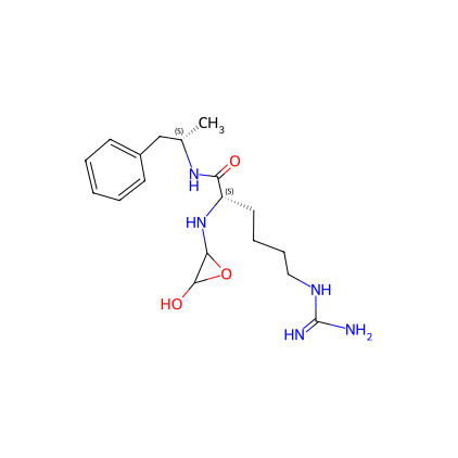 C[C@@H](Cc1ccccc1)NC(=O)[C@H](CCCCNC(=N)N)NC1OC1O